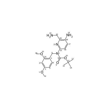 COc1ccc(CN(C(=O)OC(C)(C)C)c2ccc(N)c(CN)n2)c(OC)c1